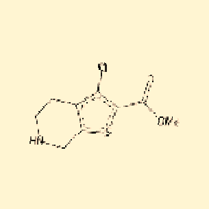 COC(=O)c1sc2c(c1Cl)CCNC2